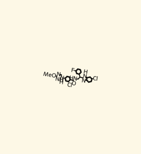 COC(=N)/N=C\Nc1ccc(C(=O)NCC(c2cccc(F)c2)c2nc3ccc(Cl)cc3[nH]2)c(Cl)c1